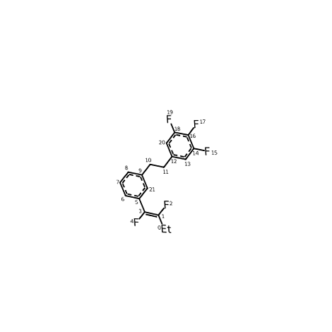 CC/C(F)=C(\F)c1cccc(CCc2cc(F)c(F)c(F)c2)c1